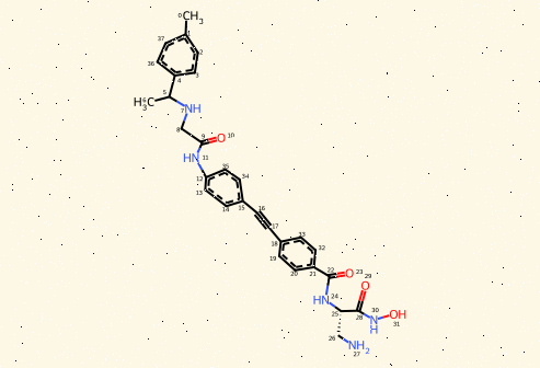 Cc1ccc(C(C)NCC(=O)Nc2ccc(C#Cc3ccc(C(=O)N[C@@H](CN)C(=O)NO)cc3)cc2)cc1